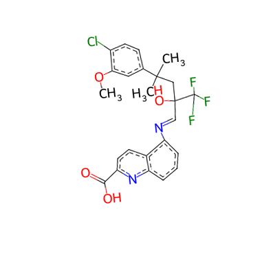 COc1cc(C(C)(C)CC(O)(C=Nc2cccc3nc(C(=O)O)ccc23)C(F)(F)F)ccc1Cl